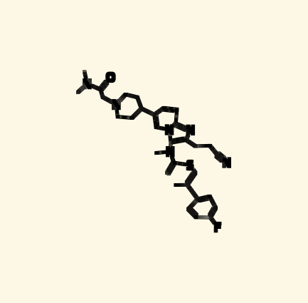 C=C(S/C=C(\C)c1ccc(F)cc1)N(C)c1c(CCC#N)nc2ccc(C3CCN(CC(=O)N(C)C)CC3)cn12